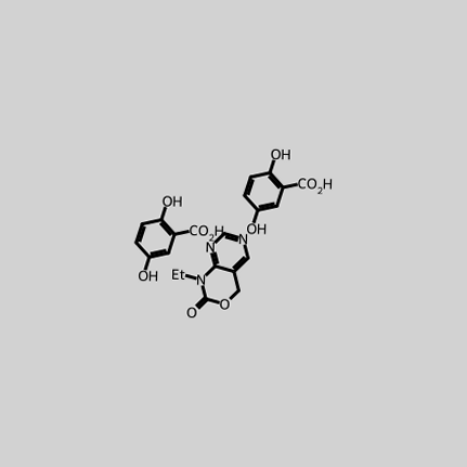 CCN1C(=O)OCc2cncnc21.O=C(O)c1cc(O)ccc1O.O=C(O)c1cc(O)ccc1O